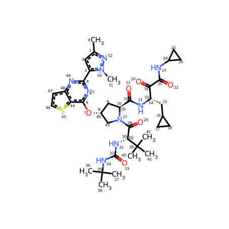 Cc1cc(-c2nc(O[C@@H]3C[C@@H](C(=O)N[C@@H](CC4CC4)C(=O)C(=O)NC4CC4)N(C(=O)[C@@H](NC(=O)NC(C)(C)C)C(C)(C)C)C3)c3sccc3n2)n(C)n1